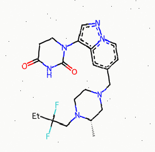 CCC(F)(F)CN1CCN(Cc2ccn3ncc(N4CCC(=O)NC4=O)c3c2)C[C@@H]1C